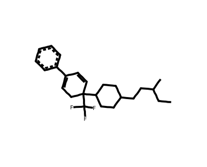 CCC(C)CCC1CCC(C2(C(F)(F)F)C=CC(c3ccccc3)=CC2)CC1